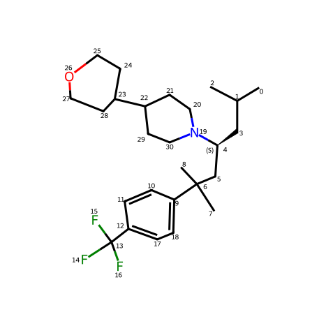 CC(C)C[C@@H](CC(C)(C)c1ccc(C(F)(F)F)cc1)N1CCC(C2CCOCC2)CC1